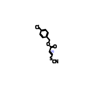 N#CS/C=C/C(=O)OCc1ccc(Cl)cc1